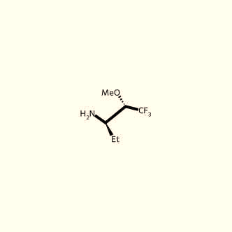 CC[C@@H](N)[C@H](OC)C(F)(F)F